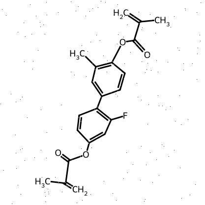 C=C(C)C(=O)Oc1ccc(-c2ccc(OC(=O)C(=C)C)c(C)c2)c(F)c1